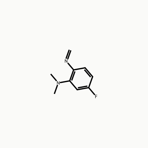 C=Nc1ccc(F)cc1N(C)C